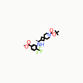 COC(=O)c1ccc(C(F)(F)F)c(N[C@@H](C)C2CC3(CCN(C(=O)OC(C)(C)C)CC3)C2)c1